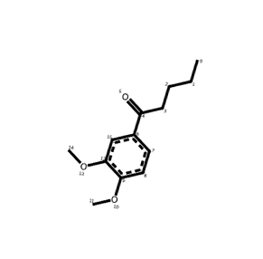 CCCCC(=O)c1ccc(OC)c(OC)c1